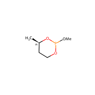 COP1OCC[C@@H](C)O1